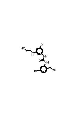 O=C(Nc1cc(Br)cc(NCCO)c1)Nc1cc(Br)ccc1CO